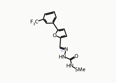 CSNC(=O)N/N=C/c1ccc(-c2cccc(C(F)(F)F)c2)o1